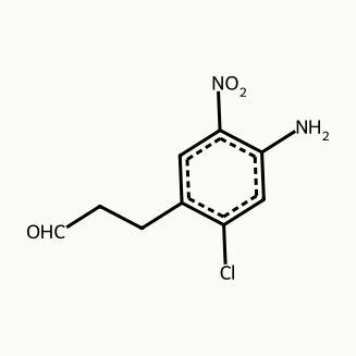 Nc1cc(Cl)c(CCC=O)cc1[N+](=O)[O-]